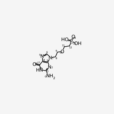 Nc1nc2c(ncn2CCOCCP(=O)(O)O)c(=O)[nH]1